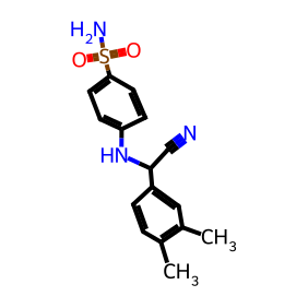 Cc1ccc(C(C#N)Nc2ccc(S(N)(=O)=O)cc2)cc1C